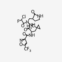 CC1(CC(NC(=O)c2cc(C(F)(F)F)on2)C(=O)NN(CC2CCNC2=O)C(=O)C(F)Cl)CC1